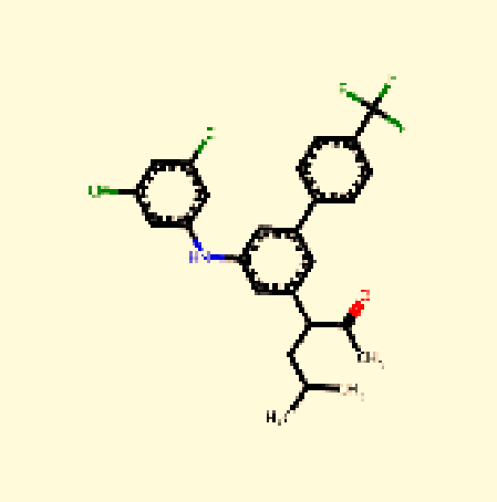 CC(=O)C(CC(C)C)c1cc(Nc2cc(Cl)cc(Cl)c2)cc(-c2ccc(C(F)(F)F)cc2)c1